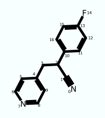 N#CC(Cc1ccncc1)c1ccc(F)cc1